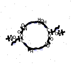 C/C=C/C(O[Si](C)(C)C(C)(C)C)C(C)(C)[C@@H]1C/C=C\[C@H]2O[C@H]2/C=C/C=C\c2nc(co2)C(=O)O[C@H](C(C)(C)[C@H](/C=C/C)O[Si](C)(C)C(C)(C)C)C/C=C\C2C[C@H]2/C=C/C=C\c2nc(co2)C(=O)O1